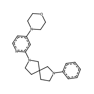 c1ccc(N2CCC3(CCN(c4cc(N5CCOCC5)ccn4)C3)C2)cc1